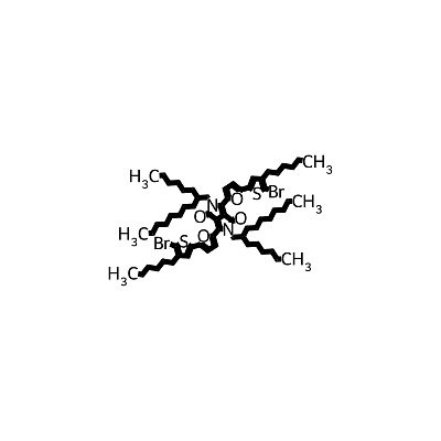 CCCCCCCCC(CCCCCC)CN1C(=O)C2=C(c3ccc(-c4cc(CCCCCC)c(Br)s4)o3)N(CC(CCCCCC)CCCCCCCC)C(=O)C2=C1c1ccc(-c2cc(CCCCCC)c(Br)s2)o1